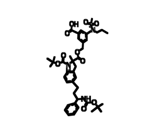 CCCN(c1cc(COC(=O)C(C)(Cc2cccc(CCC(NC(=O)OC(C)(C)C)c3ccccc3)c2)NC(=O)OC(C)(C)C)cc(C(=O)O)c1)S(C)(=O)=O